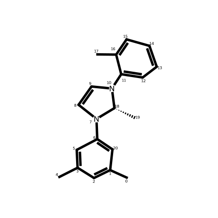 Cc1cc(C)cc(N2C=CN(c3ccccc3C)[C@@H]2C)c1